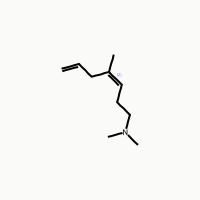 C=CC/C(C)=C\CCN(C)C